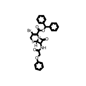 O=C(COc1ccccc1)NC1C(=O)N2C(C(=O)OC(c3ccccc3)c3ccccc3)=C(Br)CS[C@@H]12